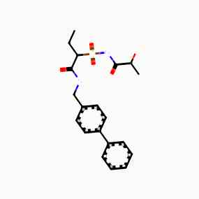 CCC(C(=O)NCc1ccc(-c2ccccc2)cc1)S(=O)(=O)NC(=O)C(C)O